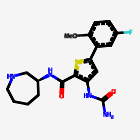 COc1ccc(F)cc1-c1cc(NC(N)=O)c(C(=O)N[C@H]2CCCCNC2)s1